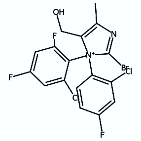 CC1=C(CO)[N+](c2ccc(F)cc2Cl)(c2c(F)cc(F)cc2Cl)C(Br)=N1